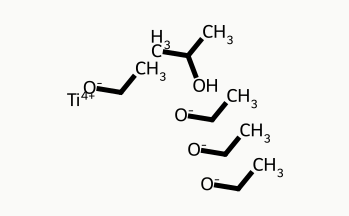 CC(C)O.CC[O-].CC[O-].CC[O-].CC[O-].[Ti+4]